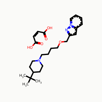 CC(C)(C)C1CCN(CCCCOCc2cc3ccccn3n2)CC1.O=C(O)/C=C\C(=O)O